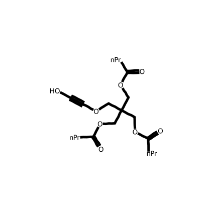 CCCC(=O)OCC(COC#CO)(COC(=O)CCC)COC(=O)CCC